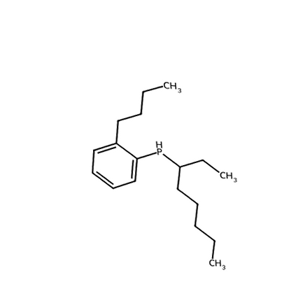 CCCCCC(CC)Pc1ccccc1CCCC